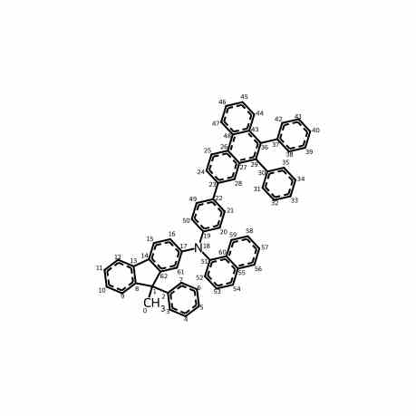 CC1(c2ccccc2)c2ccccc2-c2ccc(N(c3ccc(-c4ccc5c(c4)c(-c4ccccc4)c(-c4ccccc4)c4ccccc45)cc3)c3cccc4ccccc34)cc21